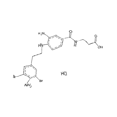 Cl.Nc1cc(C(=O)NCCC(=O)O)ccc1NCCc1cc(Br)c(N)c(Br)c1